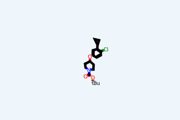 CC(C)(C)OC(=O)N1CCC(Oc2ccc(Cl)c(C3CC3)c2)CC1